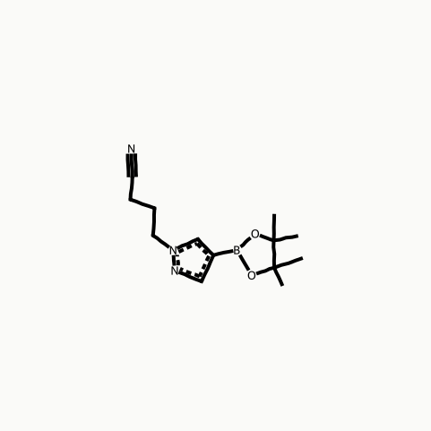 CC1(C)OB(c2cnn(CCCC#N)c2)OC1(C)C